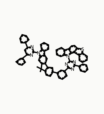 CC1(C)c2ccc(-c3cccc(-c4nc(-c5ccccc5)nc(-n5c6ccccc6c6ccc7sc8ccccc8c7c65)n4)c3)cc2-c2cc3c4ccccc4n(-c4nc(-c5ccccc5)cc(-c5ccccc5)n4)c3cc21